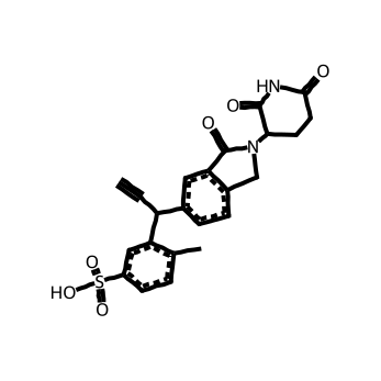 C#CC(c1ccc2c(c1)C(=O)N(C1CCC(=O)NC1=O)C2)c1cc(S(=O)(=O)O)ccc1C